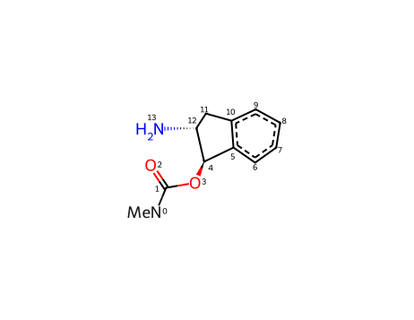 CNC(=O)O[C@@H]1c2ccccc2C[C@H]1N